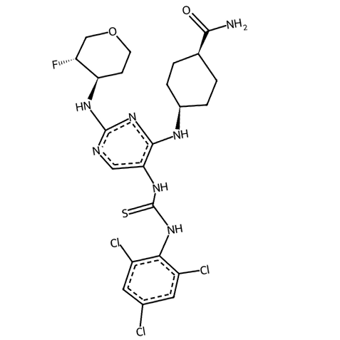 NC(=O)[C@H]1CC[C@@H](Nc2nc(N[C@@H]3CCOC[C@H]3F)ncc2NC(=S)Nc2c(Cl)cc(Cl)cc2Cl)CC1